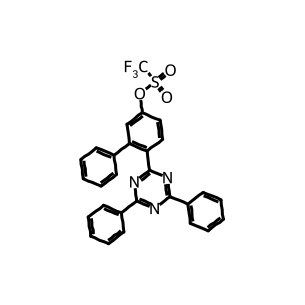 O=S(=O)(Oc1ccc(-c2nc(-c3ccccc3)nc(-c3ccccc3)n2)c(-c2ccccc2)c1)C(F)(F)F